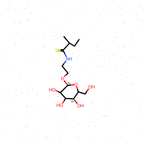 CCC(C)C(=S)NCCO[C@H]1OC(CO)[C@@H](O)C(O)C1O